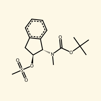 CN(C(=O)OC(C)(C)C)[C@H]1c2ccccc2C[C@@H]1OS(C)(=O)=O